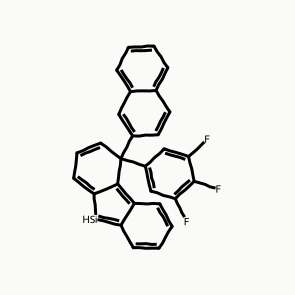 Fc1cc(C2(c3ccc4ccccc4c3)C=CC=C3[SiH]=c4ccccc4=C32)cc(F)c1F